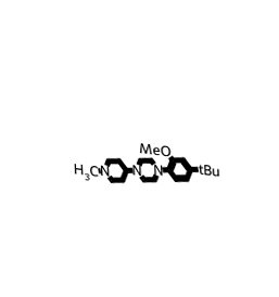 COc1cc(C(C)(C)C)ccc1N1CCN(C2CCN(C)CC2)CC1